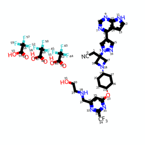 N#CCC1(n2cc(-c3ncnc4[nH]ccc34)cn2)CN([C@H]2CC[C@@H](Oc3cc(CNCCO)nc(C(F)(F)F)n3)CC2)C1.O=C(O)C(F)(F)F.O=C(O)C(F)(F)F.O=C(O)C(F)(F)F